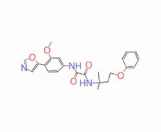 COc1cc(NC(=O)C(=O)NC(C)(C)CCOc2ccccc2)ccc1-c1cnco1